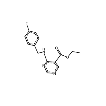 CCOC(=O)c1cncnc1NCc1ccc(F)cc1